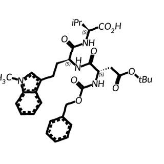 CC(C)[C@H](NC(=O)[C@H](CCc1cn(C)c2ccccc12)NC(=O)[C@H](CC(=O)OC(C)(C)C)NC(=O)OCc1ccccc1)C(=O)O